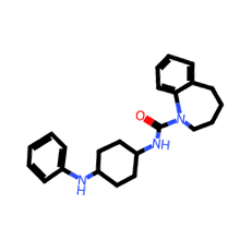 O=C(NC1CCC(Nc2ccccc2)CC1)N1CCCCc2ccccc21